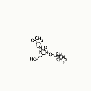 CC(=O)C1CCN(c2nc(CCCO)cn(COCC[Si](C)(C)C)c2=O)CC1